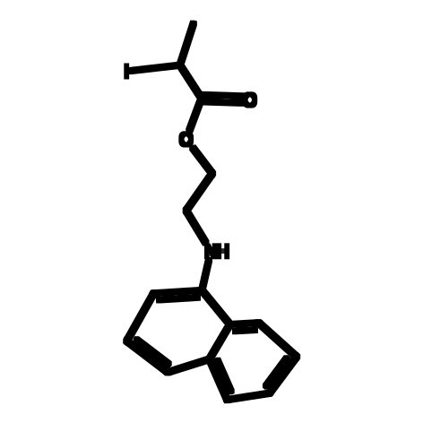 CC(I)C(=O)OCCNc1cccc2ccccc12